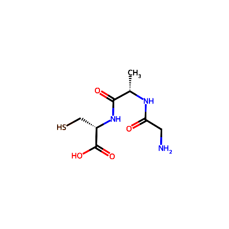 C[C@H](NC(=O)CN)C(=O)N[C@@H](CS)C(=O)O